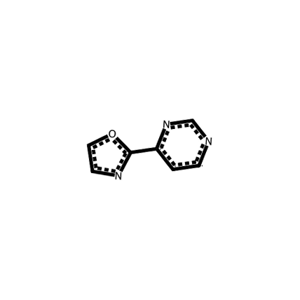 [c]1cc(-c2ncco2)ncn1